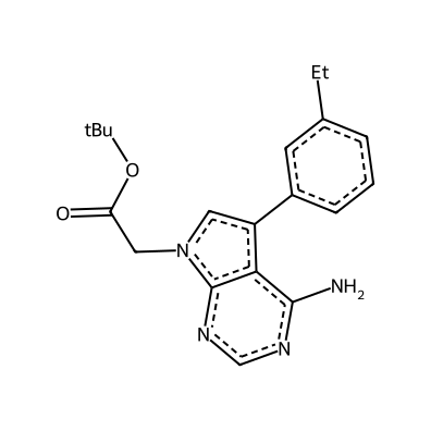 CCc1cccc(-c2cn(CC(=O)OC(C)(C)C)c3ncnc(N)c23)c1